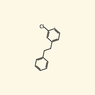 Clc1[c]ccc(CCc2ccccc2)c1